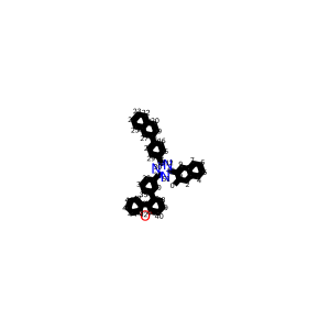 CC1Cc2ccccc2C=C1c1nc(-c2ccc(-c3ccc4ccccc4c3)cc2)nc(-c2cccc(-c3cccc4oc5ccccc5c34)c2)n1